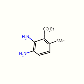 CCOC(=O)c1c(SC)ccc(N)c1N